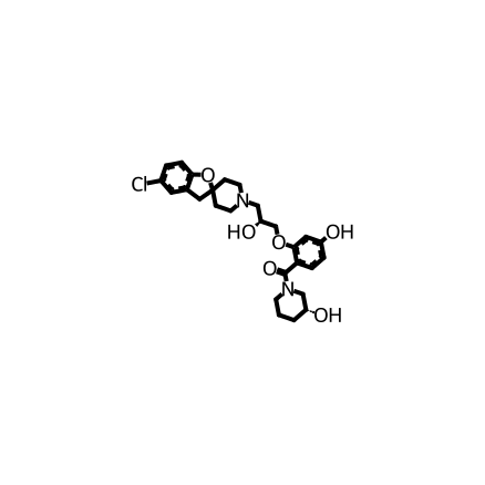 O=C(c1ccc(O)cc1OC[C@@H](O)CN1CCC2(CC1)Cc1cc(Cl)ccc1O2)N1CCC[C@@H](O)C1